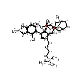 CCn1cc2c(Cl)c(-c3cn(COCC[Si](C)(C)C)c4nc(N5C6CC[C@@H]5C[C@@H](NC(=O)OC(C)(C)C)C6)cnc34)ccc2n1